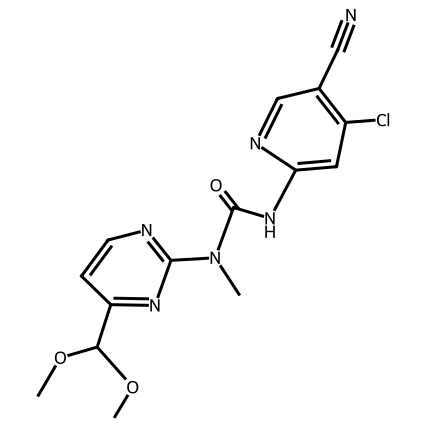 COC(OC)c1ccnc(N(C)C(=O)Nc2cc(Cl)c(C#N)cn2)n1